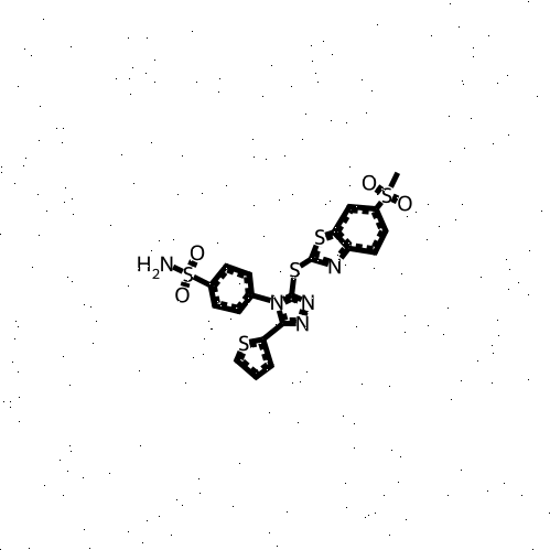 CS(=O)(=O)c1ccc2nc(Sc3nnc(-c4cccs4)n3-c3ccc(S(N)(=O)=O)cc3)sc2c1